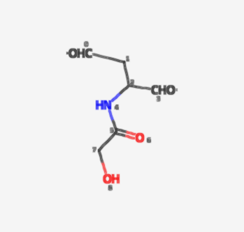 O=[C]CC([C]=O)NC(=O)CO